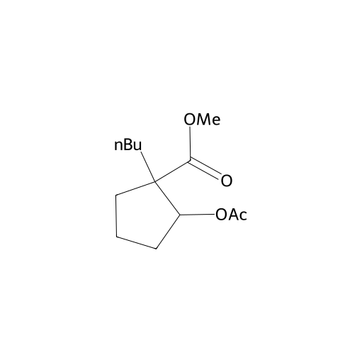 CCCCC1(C(=O)OC)CCCC1OC(C)=O